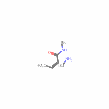 CC(C)(C)N.CC(C)(C)NC(=O)/C=C\C(=O)O